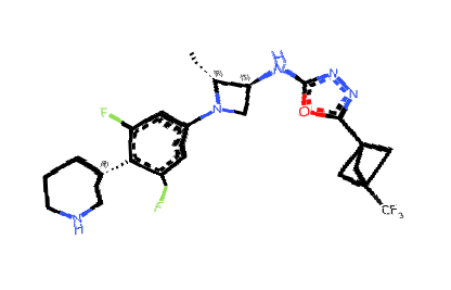 C[C@@H]1[C@@H](Nc2nnc(C34CC(C(F)(F)F)(C3)C4)o2)CN1c1cc(F)c([C@H]2CCCNC2)c(F)c1